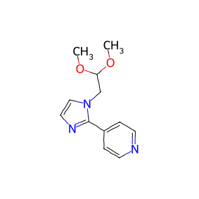 COC(Cn1ccnc1-c1ccncc1)OC